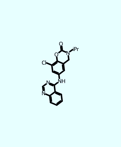 CC(C)N1Cc2cc(Nc3ncnc4ccccc34)cc(Cl)c2OC1=O